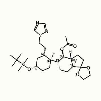 CC(=O)O[C@@H]1[C@@H]([C@@]2(C)CC[C@H](O[Si](C)(C)C(C)(C)C)C[C@@H]2CCn2cncn2)CC[C@@]2(C)[C@H]1CCC21OCCO1